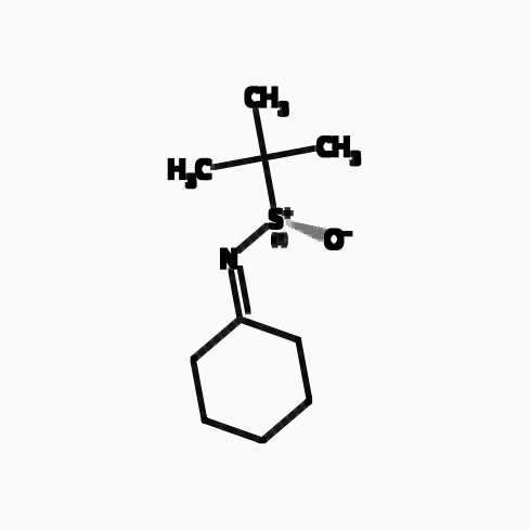 CC(C)(C)[S@+]([O-])N=C1CCCCC1